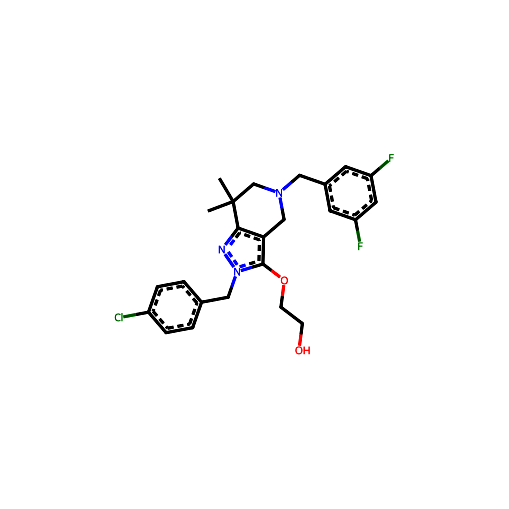 CC1(C)CN(Cc2cc(F)cc(F)c2)Cc2c1nn(Cc1ccc(Cl)cc1)c2OCCO